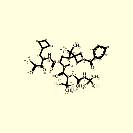 CC(C)(C)NC(=O)N[C@H](C(=O)N1C[C@]2(C[C@H]1C(=O)NC(CC1CCC1)C(=O)C(N)=O)C(C)(C)C21CN(C(=O)c2ccccc2)C1)C(C)(C)C